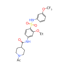 CCOc1cc(NC(=O)C2CCN(C(C)=O)CC2)ccc1S(=O)(=O)Nc1cccc(OC(F)(F)F)c1